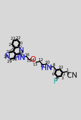 N#CCc1cc(F)cc(CNCCCCOCCNc2nc3ccccc3c3cnccc23)c1